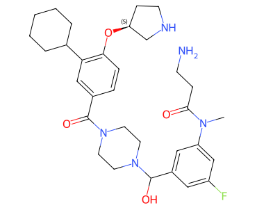 CN(C(=O)CCN)c1cc(F)cc(C(O)N2CCN(C(=O)c3ccc(O[C@H]4CCNC4)c(C4CCCCC4)c3)CC2)c1